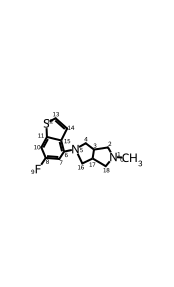 CN1CC2CN(c3cc(F)cc4sccc34)CC2C1